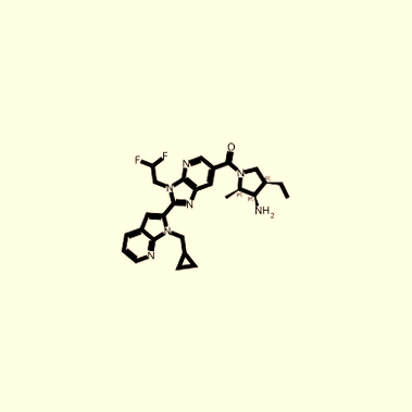 CC[C@@H]1CN(C(=O)c2cnc3c(c2)nc(-c2cc4cccnc4n2CC2CC2)n3CC(F)F)[C@H](C)[C@@H]1N